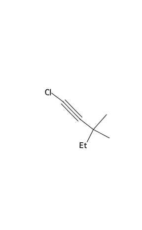 CCC(C)(C)C#CCl